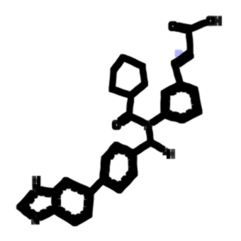 [2H]C(c1ccc(-c2ccc3nc[nH]c3c2)cc1)N(C(=O)C1CCCCC1)c1cccc(/C=C/C(=O)O)c1